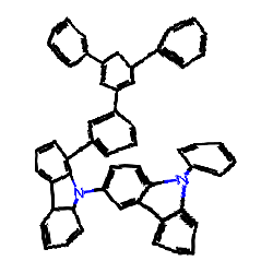 C1=CC2c3cccc(-c4cccc(C5=CC(c6ccccc6)CC(c6ccccc6)=C5)c4)c3N(c3ccc4c(c3)c3ccccc3n4-c3ccccc3)C2C=C1